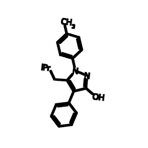 Cc1ccc(-n2nc(O)c(-c3ccccc3)c2CC(C)C)cc1